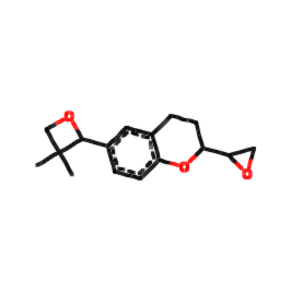 CC1(C)COC1c1ccc2c(c1)CCC(C1CO1)O2